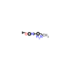 CC(N)Cc1ccc(C2CN(c3ccc(OCC4CC4)cc3)C2)cc1